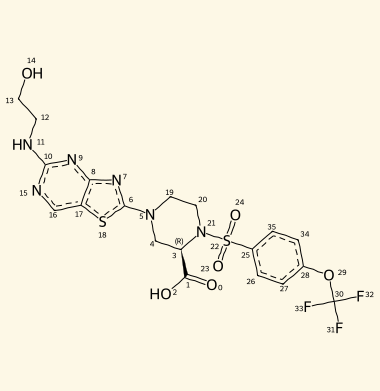 O=C(O)[C@H]1CN(c2nc3nc(NCCO)ncc3s2)CCN1S(=O)(=O)c1ccc(OC(F)(F)F)cc1